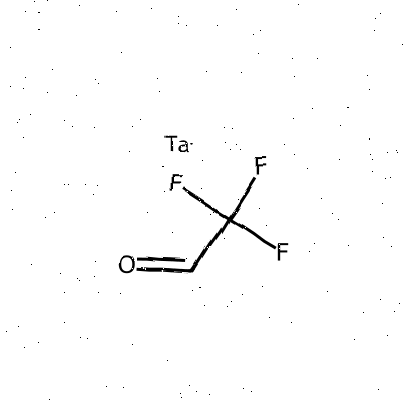 O=CC(F)(F)F.[Ta]